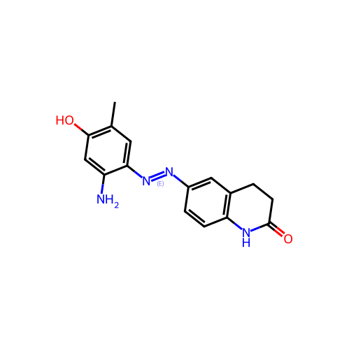 Cc1cc(/N=N/c2ccc3c(c2)CCC(=O)N3)c(N)cc1O